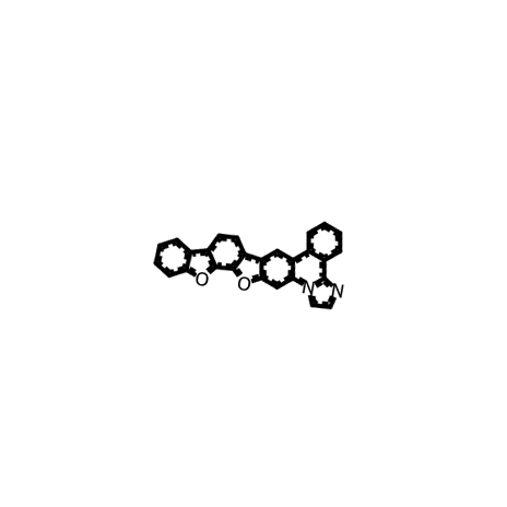 c1ccc2c(c1)oc1c2ccc2c3cc4c5ccccc5c5nccn5c4cc3oc21